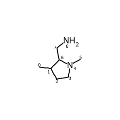 CC1CCN(C)C1CN